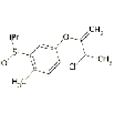 C=C(Oc1ccc(C)c([S+]([O-])C(C)C)c1)C(C)Cl